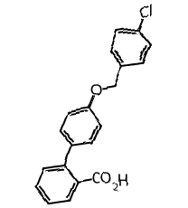 O=C(O)c1ccccc1-c1ccc(OCc2ccc(Cl)cc2)cc1